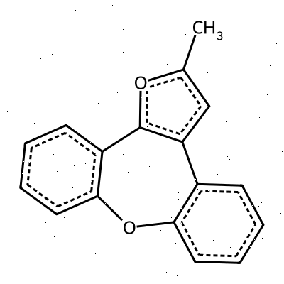 Cc1cc2c(o1)-c1ccccc1Oc1ccccc1-2